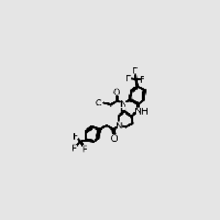 O=C(CCl)Nc1cc(C(F)(F)F)ccc1NC1CCN(C(=O)Cc2ccc(C(F)(F)F)cc2)CC1